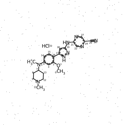 COc1cc(N(C)C2CCN(C)CC2)ccc1-c1cc(Nc2cnc(C#N)cn2)n[nH]1.Cl